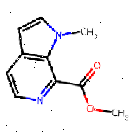 COC(=O)c1nccc2ccn(C)c12